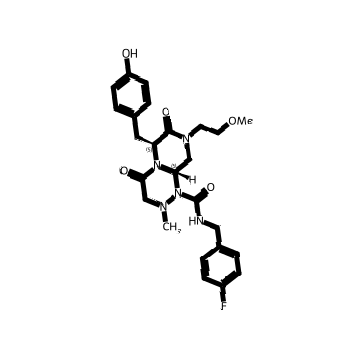 COCCN1C[C@H]2N(C(=O)CN(C)N2C(=O)NCc2ccc(F)cc2)[C@@H](Cc2ccc(O)cc2)C1=O